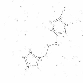 Ic1ccc(OCCn2cncn2)cc1